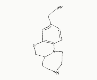 CC(C)Cc1ccc2c(c1)OCC1CNCCN21